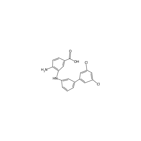 Nc1ccc(C(=O)O)cc1Nc1cccc(-c2cc(Cl)cc(Cl)c2)c1